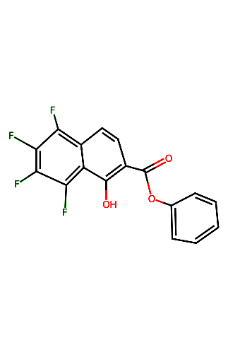 O=C(Oc1ccccc1)c1ccc2c(F)c(F)c(F)c(F)c2c1O